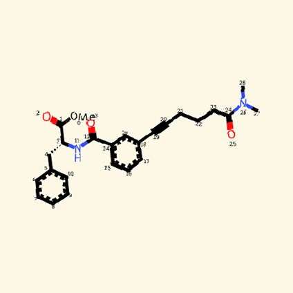 COC(=O)[C@@H](Cc1ccccc1)NC(=O)c1cccc(C#CCCCC(=O)N(C)C)c1